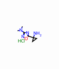 CN(C)c1noc(C2(N)CC2)n1.Cl